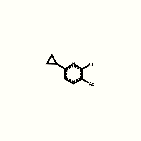 CC(=O)c1ccc(C2CC2)nc1Cl